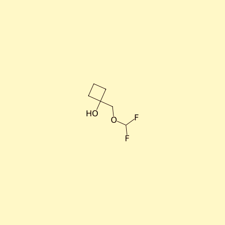 OC1(COC(F)F)CCC1